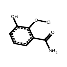 NC(=O)c1cccc(O)c1OCl